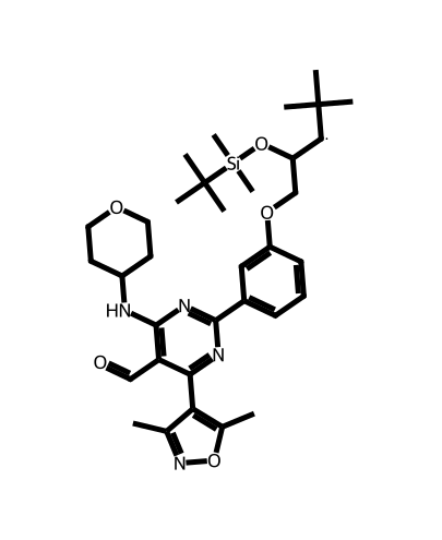 Cc1noc(C)c1-c1nc(-c2cccc(OCC([CH]C(C)(C)C)O[Si](C)(C)C(C)(C)C)c2)nc(NC2CCOCC2)c1C=O